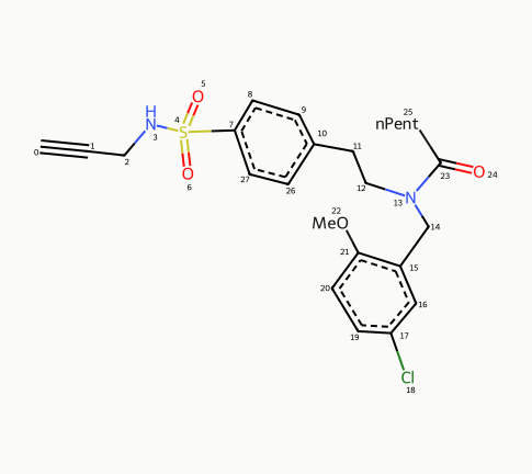 C#CCNS(=O)(=O)c1ccc(CCN(Cc2cc(Cl)ccc2OC)C(=O)CCCCC)cc1